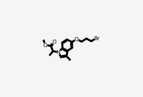 COC(=O)C(C)n1cc(C)c2cc(OCCCBr)ccc21